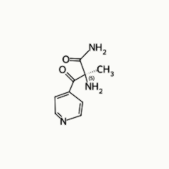 C[C@@](N)(C(N)=O)C(=O)c1ccncc1